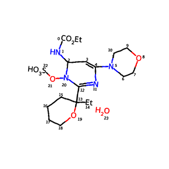 CCOC(=O)NC1C=C(N2CCOCC2)N=C(C2(CC)CCCCO2)N1OS(=O)(=O)O.O